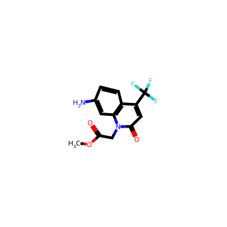 COC(=O)Cn1c(=O)cc(C(F)(F)F)c2ccc(N)cc21